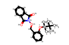 CC(C)(C)[Si](C)(C)Oc1ccccc1CON1C(=O)c2ccccc2C1=O